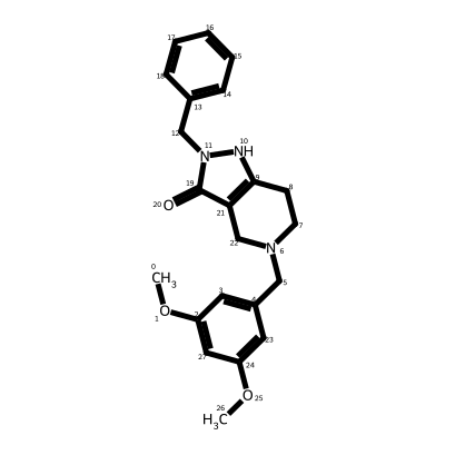 COc1cc(CN2CCc3[nH]n(Cc4ccccc4)c(=O)c3C2)cc(OC)c1